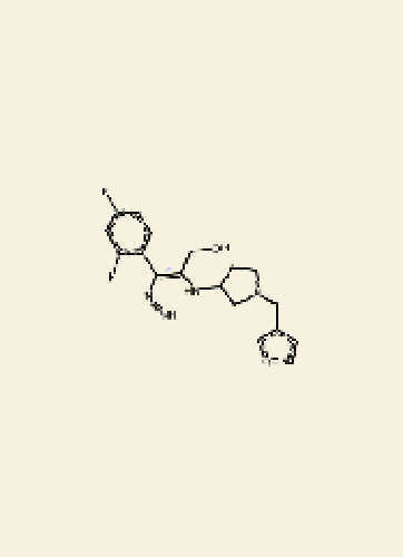 N=N/C(=C(/CO)NC1CCN(Cc2ccoc2)C1)c1ccc(F)cc1F